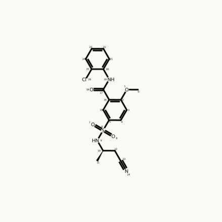 COc1ccc(S(=O)(=O)N[C@H](C)CC#N)cc1C(=O)Nc1ccccc1Cl